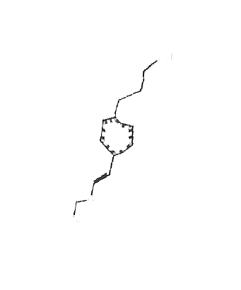 CCCCc1ccc(C=COCC)cc1